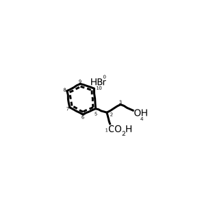 Br.O=C(O)C(CO)c1ccccc1